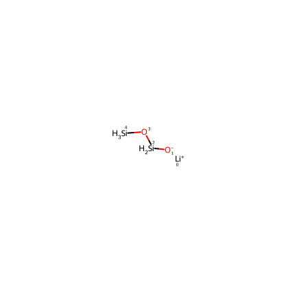 [Li+].[O-][SiH2]O[SiH3]